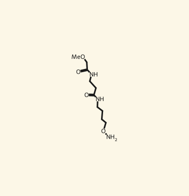 COCC(=O)NCCC(=O)NCCCCON